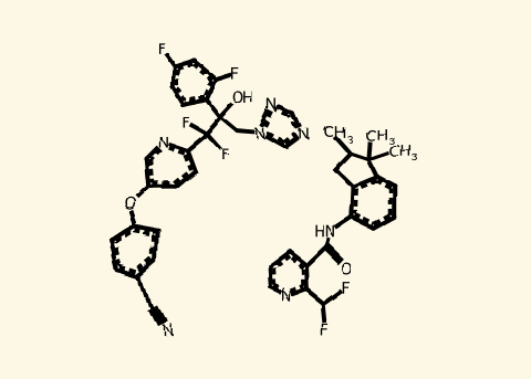 CC1Cc2c(NC(=O)c3cccnc3C(F)F)cccc2C1(C)C.N#Cc1ccc(Oc2ccc(C(F)(F)C(O)(Cn3cncn3)c3ccc(F)cc3F)nc2)cc1